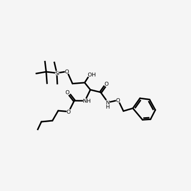 CCCCOC(=O)NC(C(=O)NOCc1ccccc1)C(O)CO[Si](C)(C)C(C)(C)C